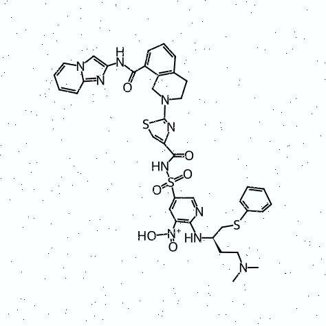 CN(C)CC[C@H](CSc1ccccc1)Nc1ncc(S(=O)(=O)NC(=O)c2csc(N3CCc4cccc(C(=O)Nc5cn6ccccc6n5)c4C3)n2)cc1[N+](=O)O